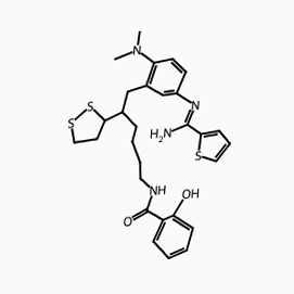 CN(C)c1ccc(N=C(N)c2cccs2)cc1CC(CCCCNC(=O)c1ccccc1O)C1CCSS1